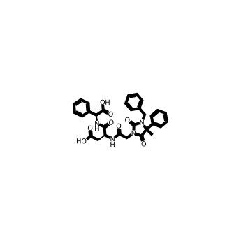 CC1(c2ccccc2)C(=O)N(CC(=O)N[C@@H](CC(=O)O)C(=O)N[C@H](C(=O)O)c2ccccc2)C(=O)N1Cc1ccccc1